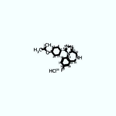 CC(C)O[C@H]1CC[C@H](c2nnc3n2-c2ccc(F)cc2CNC3)CC1.Cl